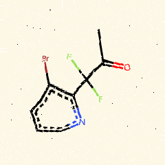 CC(=O)C(F)(F)c1ncccc1Br